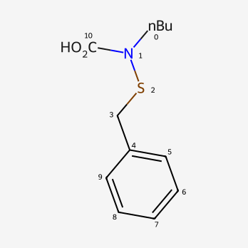 CCCCN(SCc1ccccc1)C(=O)O